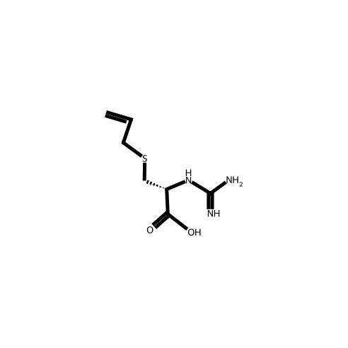 C=CCSC[C@H](NC(=N)N)C(=O)O